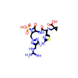 N=C(N)NCc1cnn(CC2C(NC(=O)/C(=N/CC3(C(=O)O)CC3)c3csc(N)n3)C(=O)N2S(=O)(=O)O)n1